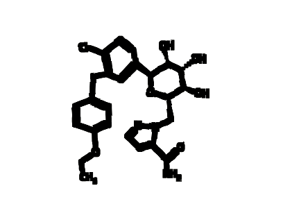 CCOc1ccc(Cc2cc([C@@H]3O[C@H](Cn4nccc4C(N)=O)[C@H](O)[C@@H](O)[C@H]3O)ccc2Cl)cc1